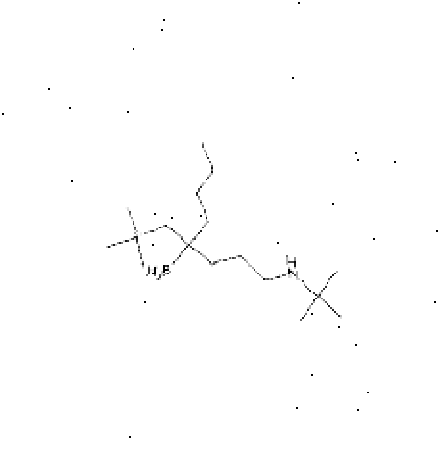 BC(CCCC)(CCCNC(C)(C)C)CC(C)(C)C